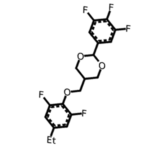 CCc1cc(F)c(OCC2COC(c3cc(F)c(F)c(F)c3)OC2)c(F)c1